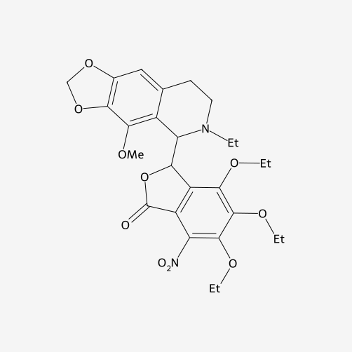 CCOc1c(OCC)c2c(c([N+](=O)[O-])c1OCC)C(=O)OC2C1c2c(cc3c(c2OC)OCO3)CCN1CC